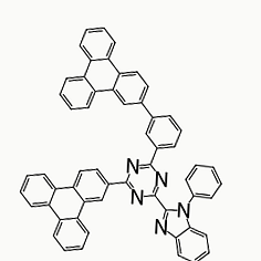 c1ccc(-n2c(-c3nc(-c4cccc(-c5ccc6c7ccccc7c7ccccc7c6c5)c4)nc(-c4ccc5c6ccccc6c6ccccc6c5c4)n3)nc3ccccc32)cc1